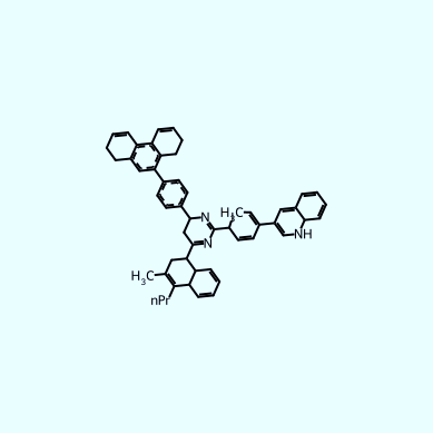 C/C=C(\C=C/C(I)C1=NC(c2ccc(-c3cc4c(c5c3CCC=C5)C=CCC4)cc2)CC(C2CC(C)=C(CCC)C3C=CC=CC32)=N1)C1=CNC2C=CC=CC2=C1